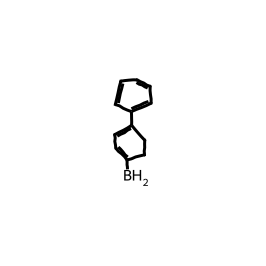 BC1=CC=C(c2ccccc2)CC1